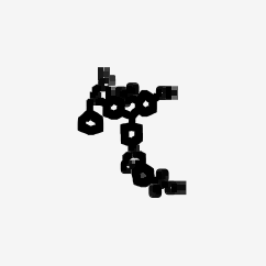 CCN(Cc1ccccc1)c1ccc(C(c2ccc(N(CC)Cc3cccc(S(=O)(=O)O)c3)cc2)c2ccc(O)cc2S(=O)(=O)O)cc1